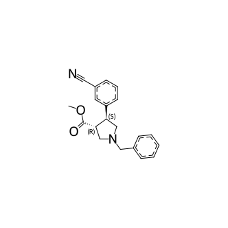 COC(=O)[C@H]1CN(Cc2ccccc2)C[C@@H]1c1cccc(C#N)c1